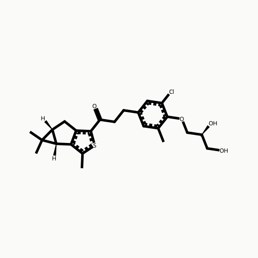 Cc1cc(CCC(=O)c2sc(C)c3c2C[C@@H]2[C@H]3C2(C)C)cc(Cl)c1OC[C@@H](O)CO